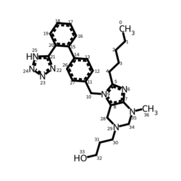 CCCCCc1nc2c(n1Cc1ccc(-c3ccccc3-c3nnn[nH]3)cc1)CN(CCCO)CN2C